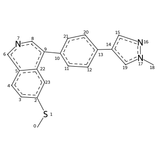 CSc1ccc2cncc(-c3ccc(-c4cnn(C)c4)cc3)c2c1